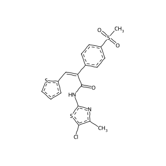 Cc1nc(NC(=O)C(=Cc2cccs2)c2ccc(S(C)(=O)=O)cc2)sc1Cl